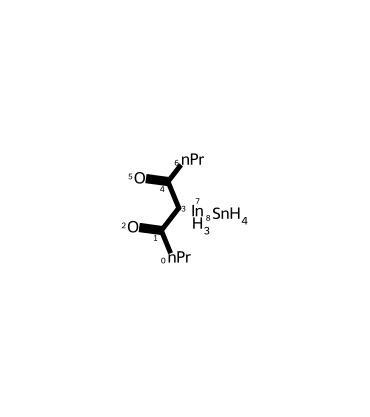 CCCC(=O)CC(=O)CCC.[InH3].[SnH4]